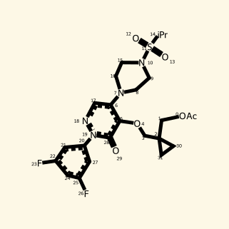 CC(=O)OCC1(COc2c(N3CCN(S(=O)(=O)C(C)C)CC3)cnn(-c3cc(F)cc(F)c3)c2=O)CC1